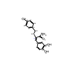 NC(=O)/C(=C\c1ccc(O)c(O)c1)SCc1ccc(Cl)cc1